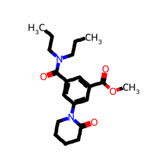 CCCN(CCC)C(=O)c1cc(C(=O)OC)cc(N2CCCCC2=O)c1